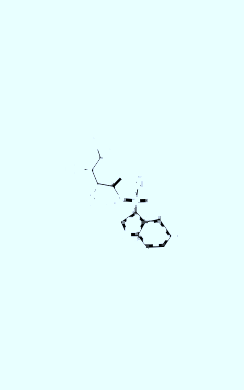 CC[C@H](C)[C@H](N)C(=O)N=S(N)(=O)c1csc2ccccc12